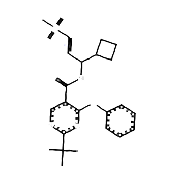 CC(F)(F)c1ncc(C(=O)NC(/C=C/S(C)(=O)=O)C2CCC2)c(Oc2ccccc2)n1